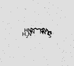 NC1=NC(CCCc2cn(Cc3ccsc3)nn2)CN1